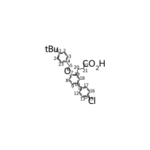 CC(C)(C)c1ccc(COc2ccc(-c3ccc(Cl)cc3)cc2CCC(=O)O)cc1